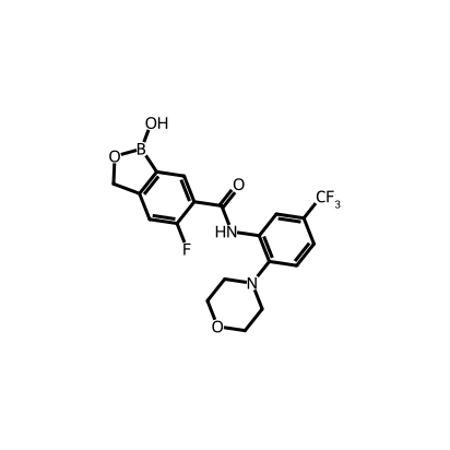 O=C(Nc1cc(C(F)(F)F)ccc1N1CCOCC1)c1cc2c(cc1F)COB2O